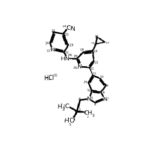 CC(C)(O)Cn1cnc2ccc(-c3cc(C4CC4)cc(Nc4cc(C#N)ccn4)n3)cc21.Cl